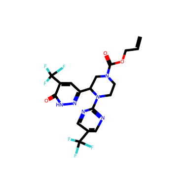 C=CCOC(=O)N1CCN(c2ncc(C(F)(F)F)cn2)C(c2cc(C(F)(F)F)c(=O)[nH]n2)C1